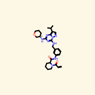 C=CC(=O)N1CCCCC1C(=O)Nc1cccc(CNc2nc(N[C@@H]3CCCOC3)nc3c(C(C)C)cnn23)c1